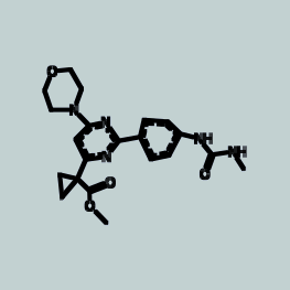 CNC(=O)Nc1ccc(-c2nc(N3CCOCC3)cc(C3(C(=O)OC)CC3)n2)cc1